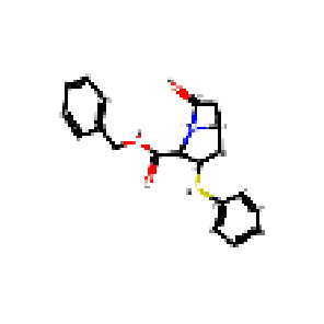 O=C(OCc1ccccc1)C1C(Sc2ccccc2)CC2CC(=O)N21